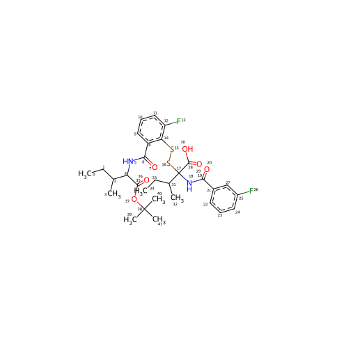 CCC(C)C(NC(=O)c1cccc(F)c1SSC(NC(=O)c1cccc(F)c1)(C(=O)O)C(C)CC)C(=O)OC(C)(C)C